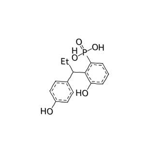 CCC(c1ccc(O)cc1)c1c(O)cccc1P(=O)(O)O